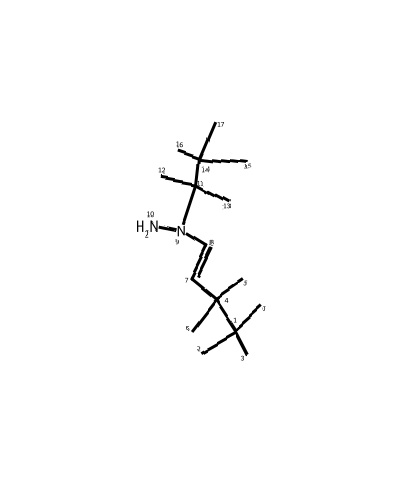 CC(C)(C)C(C)(C)/C=C/N(N)C(C)(C)C(C)(C)C